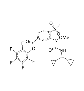 CON(C(=O)NC(C1CC1)C1CC1)c1c(S(C)(=O)=O)ccc(C(=O)Oc2c(F)c(F)c(F)c(F)c2F)c1C